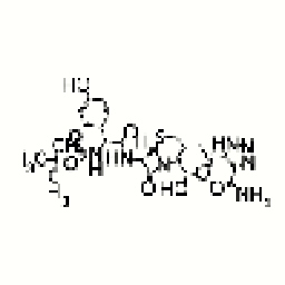 CC(C)(C)OC(=O)NC(C(=O)NC1C(=O)N2C(C(=O)O)=C(CSc3[nH]nnc3C(N)=O)CS[C@H]12)c1ccc(O)cc1